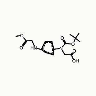 COC(=O)CNc1ccc(N(CC(=O)O)C(=O)OC(C)(C)C)cc1